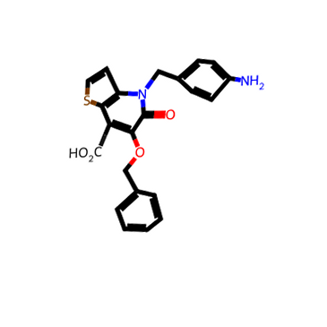 Nc1ccc(Cn2c(=O)c(OCc3ccccc3)c(C(=O)O)c3sccc32)cc1